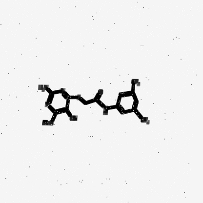 CSc1nc(N)nc(SCC(=O)Nc2cc(C(F)(F)F)cc(C(F)(F)F)c2)c1C#N